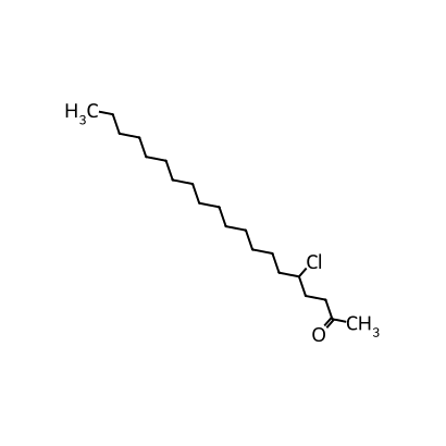 CCCCCCCCCCCCCCCC(Cl)CCC(C)=O